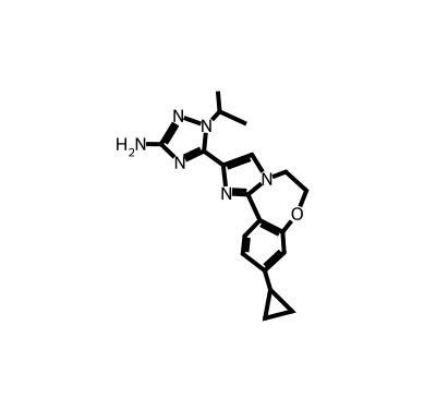 CC(C)n1nc(N)nc1-c1cn2c(n1)-c1ccc(C3CC3)cc1OCC2